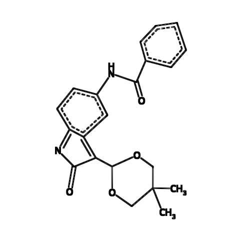 CC1(C)COC(C2=c3cc(NC(=O)c4ccccc4)ccc3=NC2=O)OC1